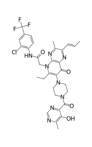 C/C=C/c1nc2c(=O)c(N3CCN(C(=O)c4ncnc(C)c4O)CC3)c(CC)n(CC(=O)Nc3ccc(C(F)(F)F)cc3Cl)c2nc1C